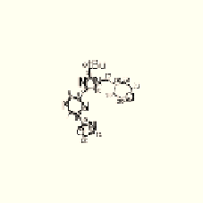 CC(C)(C)c1nc(-c2cncc(-c3ncco3)n2)cn1CC1CCOCC1